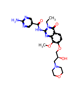 CCn1c(NC(=O)c2cnc(N)nc2)nc2c(OC)c(OC[C@@H](O)CN3CCOCC3)ccc2c1=O